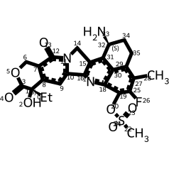 CC[C@@]1(O)C(=O)OCc2c1cc1n(c2=O)Cc2c-1nc1c(OS(C)(=O)=O)c(F)c(C)c3c1c2[C@@H](N)CC3